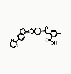 Cc1ccc(CC(=O)N2CCC3(CC2)CN([C@@H]2CCc4cc(-c5ncccn5)ccc42)C3)c(C(=O)O)c1